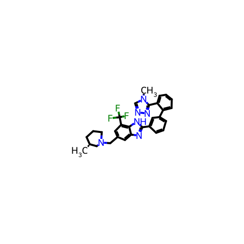 C[C@H]1CCCN(Cc2cc(C(F)(F)F)c3[nH]c(-c4cccc(-c5ccccc5-c5nncn5C)c4)nc3c2)C1